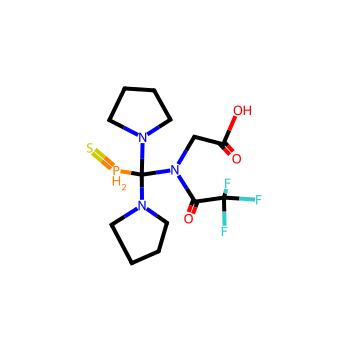 O=C(O)CN(C(=O)C(F)(F)F)C([PH2]=S)(N1CCCC1)N1CCCC1